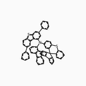 c1ccc(-c2cc(N(c3ccc4c(c3)C3(c5ccccc5S4)c4ccccc4-c4ccccc43)c3cccc4c3sc3ccccc34)c3c(c2)sc2ccc(-c4ccccc4)cc23)cc1